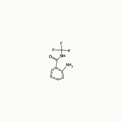 Nc1ccccc1C(=O)NC(F)(F)F